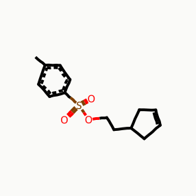 Cc1ccc(S(=O)(=O)OCCC2CC=CC2)cc1